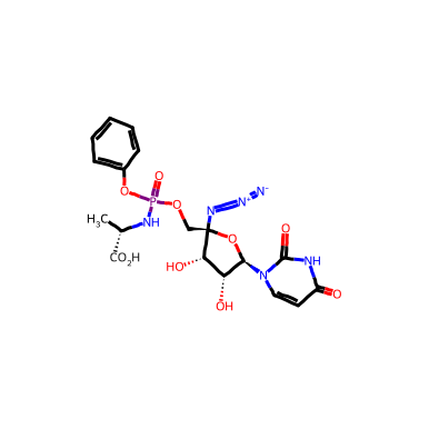 C[C@H](NP(=O)(OC[C@@]1(N=[N+]=[N-])O[C@@H](n2ccc(=O)[nH]c2=O)[C@H](O)[C@@H]1O)Oc1ccccc1)C(=O)O